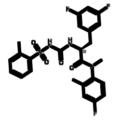 Cc1cc(F)ccc1N(C)C(=O)[C@H](Cc1cc(F)cc(F)c1)NC(=O)NS(=O)(=O)c1ccccc1C